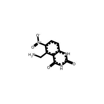 NCc1c([N+](=O)[O-])ccc2[nH]c(=O)[nH]c(=O)c12